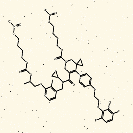 Cc1c(CN(C(=O)C2=C(c3ccc(CCCOc4c(F)ccc(F)c4Cl)cc3)C3(CC3)CN(C(=O)OCCCCO[N+](=O)[O-])C2)C2CC2)ccnc1OCC(C)OC(=O)OCCCCO[N+](=O)[O-]